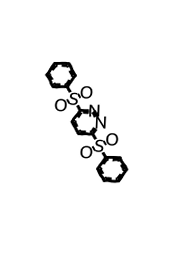 O=S(=O)(c1ccccc1)c1ccc(S(=O)(=O)c2ccccc2)nn1